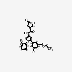 O=C1C[C@H](C(=O)Nc2cc(-c3cc(Cl)cc(COCC(F)(F)F)c3)n(-c3ccccc3F)n2)CN1